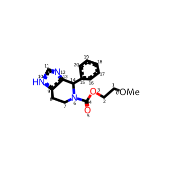 COCCOC(=O)N1CCc2[nH]cnc2C1c1ccccc1